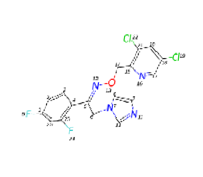 Fc1ccc(C(Cn2ccnc2)=NOCc2ncc(Cl)cc2Cl)c(F)c1